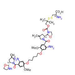 C=C1C[C@@H](C2NCCO2)N(C(=O)c2cc(OC)c(OCCCCCOc3cc(N)c(C(=O)N4CC(=C)C[C@H]4C4OCCN4C(=O)OCC(C)(C)SSC[C@H](N)C(=O)O)cc3OC)cc2N)C1